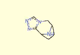 c1nnc2n1CC1CCC2N1